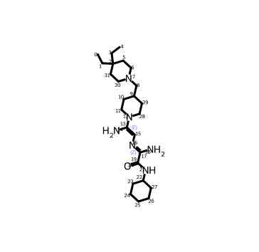 CCC1(CC)CCN(CC2CCN(/C(N)=C/N=C(\N)C(=O)NC3CCCCC3)CC2)CC1